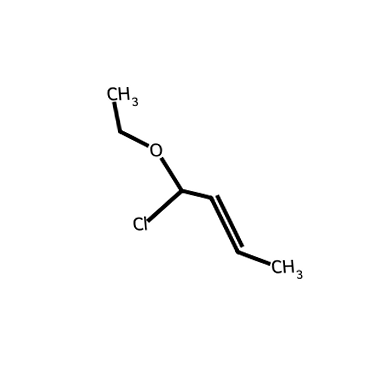 CC=CC(Cl)OCC